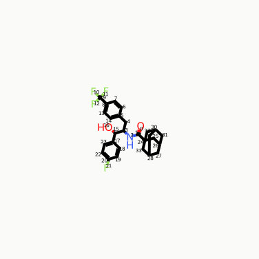 O=C(NC(Cc1ccc(C(F)(F)F)cc1)C(O)c1ccc(F)cc1)C12CC3CC(CC(C3)C1)C2